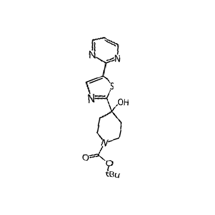 CC(C)(C)OC(=O)N1CCC(O)(c2ncc(-c3ncccn3)s2)CC1